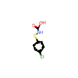 O=C(O)NSc1ccc(Cl)cc1